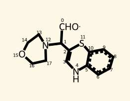 O=[C]C(C1=CNc2ccccc2S1)N1CCOCC1